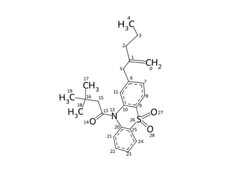 C=C(CCC)Cc1ccc2c(c1)N(C(=O)CC(C)(C)C)c1ccccc1S2(=O)=O